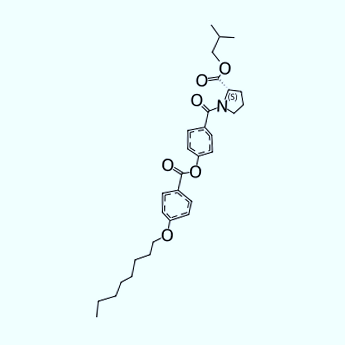 CCCCCCCCOc1ccc(C(=O)Oc2ccc(C(=O)N3CCC[C@H]3C(=O)OCC(C)C)cc2)cc1